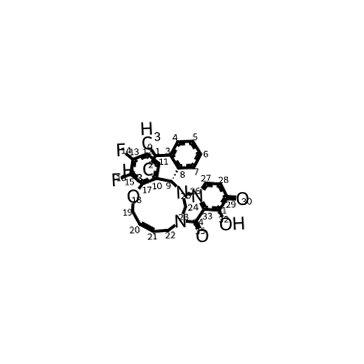 CC(C)c1ccccc1[C@H]1c2ccc(F)c(F)c2OC/C=C\CN2CN1n1ccc(=O)c(O)c1C2=O